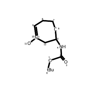 CC(C)(C)OC(=O)NC1CCCC=[N+]([O-])C1